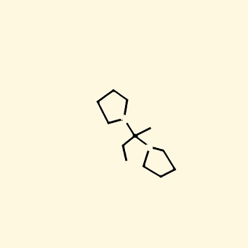 [CH2]C(CC)(P1CCCC1)P1CCCC1